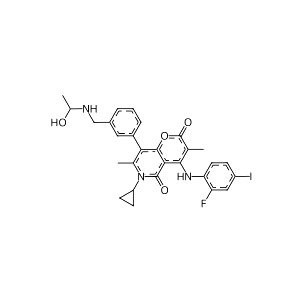 Cc1c(Nc2ccc(I)cc2F)c2c(=O)n(C3CC3)c(C)c(-c3cccc(CNC(C)O)c3)c2oc1=O